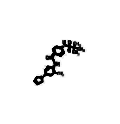 Cc1cc(N2CC=CC2)ccc1NC(=O)c1ccc(NS(=O)(=O)C(C)(C)C)cc1